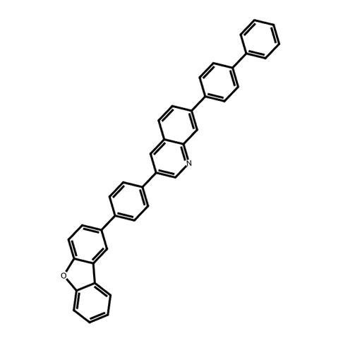 c1ccc(-c2ccc(-c3ccc4cc(-c5ccc(-c6ccc7oc8ccccc8c7c6)cc5)cnc4c3)cc2)cc1